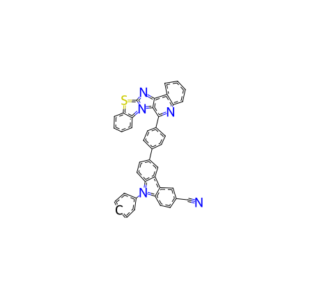 N#Cc1ccc2c(c1)c1cc(-c3ccc(-c4nc5ccccc5c5nc6sc7ccccc7n6c45)cc3)ccc1n2-c1ccccc1